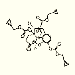 O=C(OCC1=CC1)Oc1ccc2c3c1O[C@H]1C(=O)CCC4(OC(=O)OCC5=CC5)[C@@H](C2)N(C(=O)OCC2=CC2)CC[C@]314